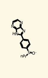 CCC[S+]([O-])c1ccc(-c2nc3nccnc3[nH]2)cc1